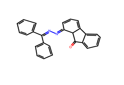 O=C1c2ccccc2C2=CC=CC(=NN=C(c3ccccc3)c3ccccc3)C12